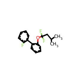 CC(C)CC(F)(F)Oc1cc[c]cc1-c1ccccc1F